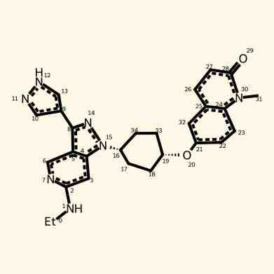 CCNc1cc2c(cn1)c(-c1cn[nH]c1)nn2[C@H]1CC[C@@H](Oc2ccc3c(ccc(=O)n3C)c2)CC1